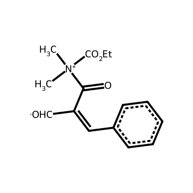 CCOC(=O)[N+](C)(C)C(=O)C([C]=O)=Cc1ccccc1